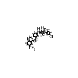 O=C(Nc1ccc(-n2cnc3ccc(C(F)(F)F)cc3c2=O)c(Cl)c1)NS(=O)(=O)c1ccc(Cl)s1